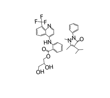 Cc1c(C(C)C)c(=O)n(-c2ccccc2)n1C.O=C(OCC(O)CO)c1ccccc1Nc1ccnc2c(C(F)(F)F)cccc12